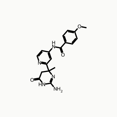 COc1ccc(C(=O)Nc2ccnc(C3(C)CC(=O)NC(N)=N3)c2)cc1